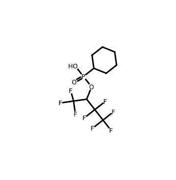 O=P(O)(OC(C(F)(F)F)C(F)(F)C(F)(F)F)C1CCCCC1